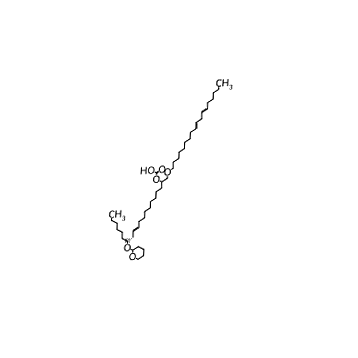 CCCCCC=CCC=CCCCCCCCCOCC(CCCCCCCCC=CC[C@@H](CCCCCC)OC1CCCCO1)OC(=O)O